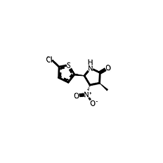 C[C@@H]1C(=O)N[C@H](c2ccc(Cl)s2)[C@H]1[N+](=O)[O-]